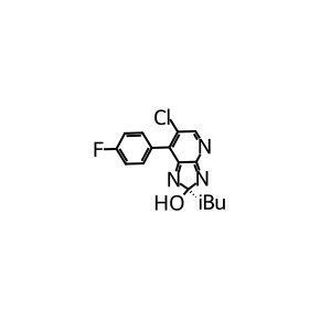 [CH2][C@@H](CC)C1(O)N=c2ncc(Cl)c(-c3ccc(F)cc3)c2=N1